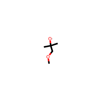 COCC(C)(C)[O]